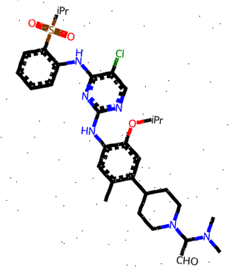 Cc1cc(Nc2ncc(Cl)c(Nc3ccccc3S(=O)(=O)C(C)C)n2)c(OC(C)C)cc1C1CCN(C(C=O)N(C)C)CC1